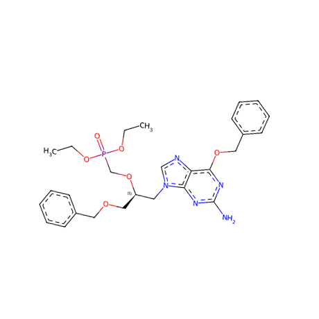 CCOP(=O)(CO[C@H](COCc1ccccc1)Cn1cnc2c(OCc3ccccc3)nc(N)nc21)OCC